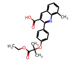 CCOC(=O)C(C)(C)Oc1ccc(-c2nc3c(C)cccc3cc2C(=O)O)cc1